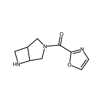 O=C(c1ncco1)N1CC2CNC2C1